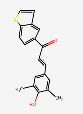 Cc1cc(/C=C/C(=O)c2ccc3sccc3c2)cc(C)c1O